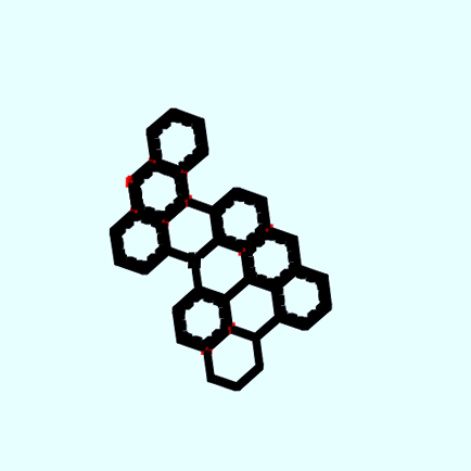 c1ccc(N(c2ccccc2-c2cccc3cccc(C4CCCCC4)c23)c2cccc3ccccc23)c(-c2cccc3ccccc23)c1